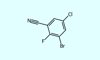 N#Cc1cc(Cl)cc(Br)c1F